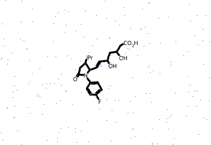 CC(C)C1CC(=O)N(c2ccc(F)cc2)C1/C=C/C(O)CC(O)CC(=O)O